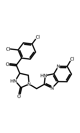 O=C(c1ccc(Cl)cc1Cl)C1CN(Cc2nc3ccc(Cl)nc3[nH]2)C(=O)N1